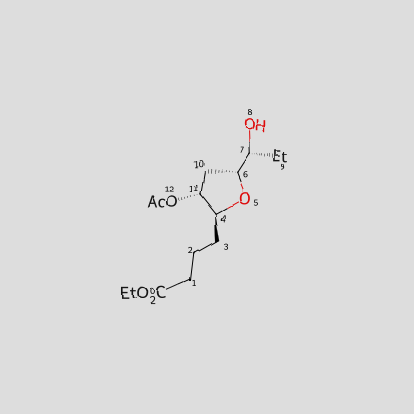 CCOC(=O)CCC[C@@H]1O[C@@H]([C@H](O)CC)C[C@H]1OC(C)=O